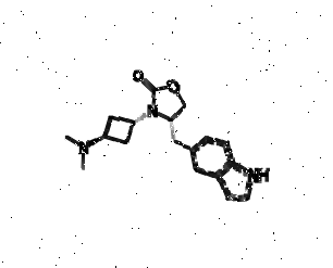 CN(C)[C@H]1C[C@H](N2C(=O)OC[C@@H]2Cc2ccc3[nH]ccc3c2)C1